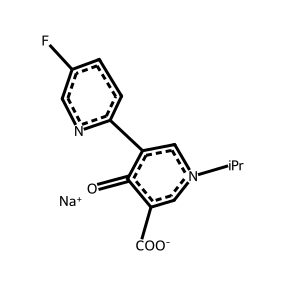 CC(C)n1cc(C(=O)[O-])c(=O)c(-c2ccc(F)cn2)c1.[Na+]